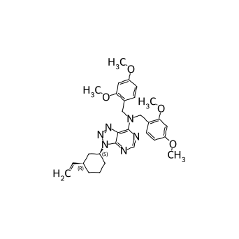 C=C[C@@H]1CCC[C@H](n2nnc3c(N(Cc4ccc(OC)cc4OC)Cc4ccc(OC)cc4OC)ncnc32)C1